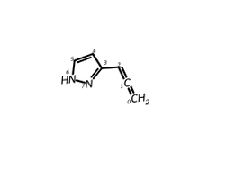 C=C=Cc1cc[nH]n1